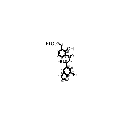 CCOC(=O)Cc1cccc(N(C)CC(O)c2cc(Br)c3occc3c2)c1O